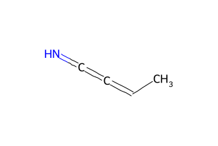 CC=C=C=N